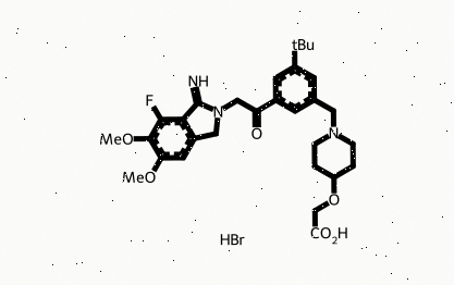 Br.COc1cc2c(c(F)c1OC)C(=N)N(CC(=O)c1cc(CN3CCC(OCC(=O)O)CC3)cc(C(C)(C)C)c1)C2